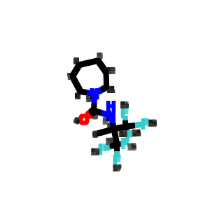 CC(NC(=O)N1CCCCCC1)(C(F)(F)F)C(F)(F)F